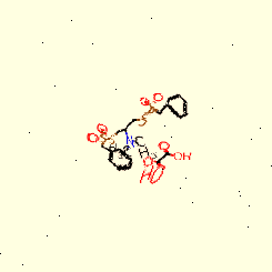 CN(C)C(CSS(=O)(=O)Cc1ccccc1)CSS(=O)(=O)Cc1ccccc1.O=C(O)C(=O)O